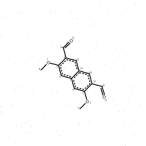 COc1cc2cc(OC)c(C=O)cc2cc1C=O